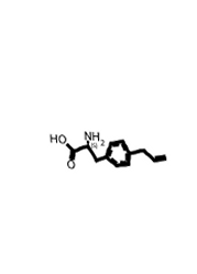 C=CCc1ccc(C[C@H](N)C(=O)O)cc1